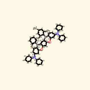 CC(C)c1cc(C(C)C)c(B2c3ccc(N(c4ccccc4)c4ccccc4)cc3Oc3cc4c(cc32)B2c3ccccc3Sc3cc(N(c5ccccc5)c5ccccc5)cc(c32)O4)c(C(C)C)c1